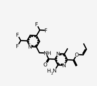 C=C(O/C=C\C)c1nc(N)c(C(=O)NCc2cc(C(F)F)cc(C(F)F)n2)nc1C